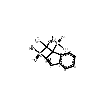 CC(O)(C1(P(=O)(O)O)C=Cc2ccccc21)P(=O)(O)O